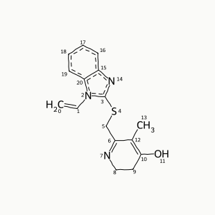 C=Cn1c(SCC2=NCCC(O)=C2C)nc2ccccc21